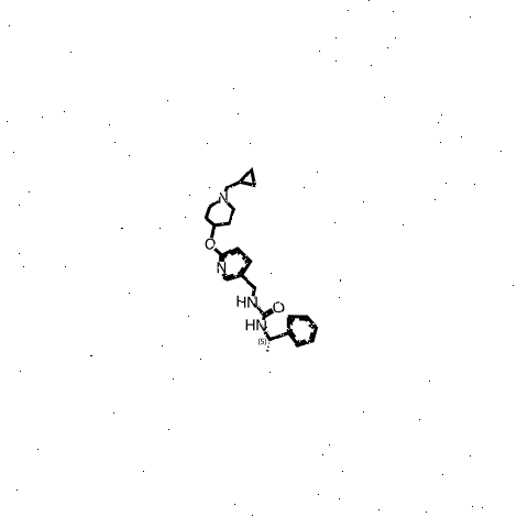 C[C@H](NC(=O)NCc1ccc(OC2CCN(CC3CC3)CC2)nc1)c1ccccc1